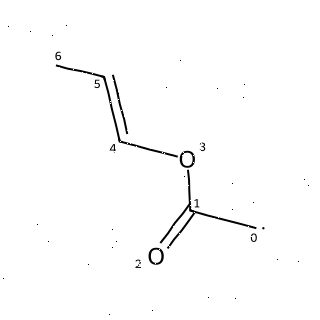 [CH2]C(=O)OC=CC